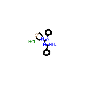 Cl.N/C(=N\C(=N\c1ccccc1)N1CCSCC1)c1ccccc1